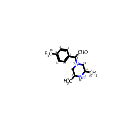 CC1CN(C(C=O)c2ccc(C(F)(F)F)cc2)CC(C)N1